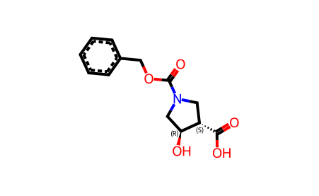 O=C(O)[C@H]1CN(C(=O)OCc2ccccc2)C[C@@H]1O